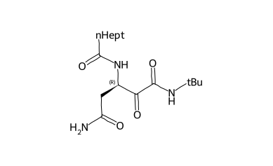 CCCCCCCC(=O)N[C@H](CC(N)=O)C(=O)C(=O)NC(C)(C)C